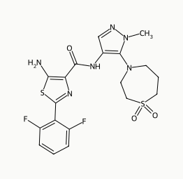 Cn1ncc(NC(=O)c2nc(-c3c(F)cccc3F)sc2N)c1N1CCCS(=O)(=O)CC1